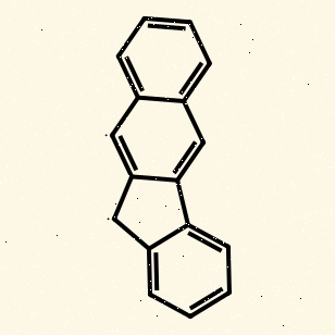 [c]1c2c(cc3ccccc13)-c1ccccc1[CH]2